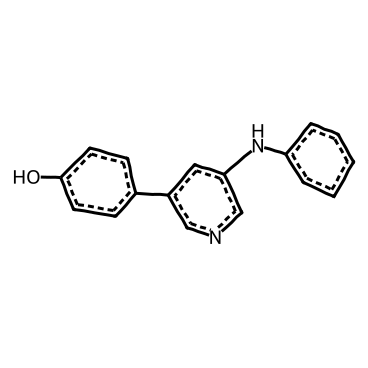 Oc1ccc(-c2cncc(Nc3ccccc3)c2)cc1